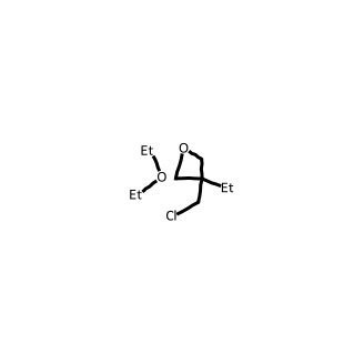 CCC1(CCl)COC1.CCOCC